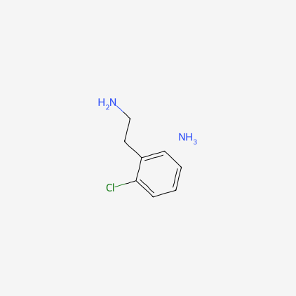 N.NCCc1ccccc1Cl